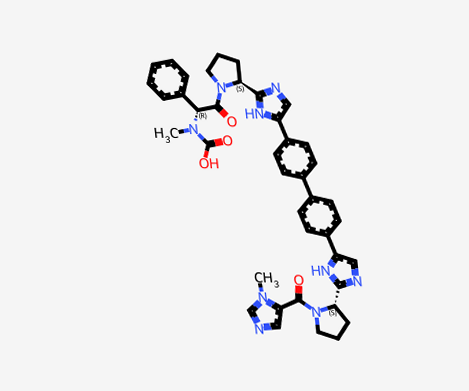 CN(C(=O)O)[C@@H](C(=O)N1CCC[C@H]1c1ncc(-c2ccc(-c3ccc(-c4cnc([C@@H]5CCCN5C(=O)c5cncn5C)[nH]4)cc3)cc2)[nH]1)c1ccccc1